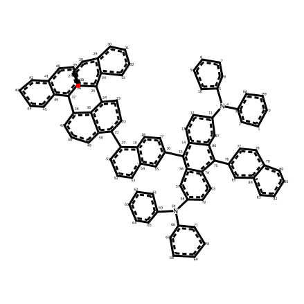 c1ccc(N(c2ccccc2)c2ccc3c(-c4ccc5c(-c6ccc(-c7cccc8ccccc78)c7c(-c8cccc9ccccc89)cccc67)cccc5c4)c4cc(N(c5ccccc5)c5ccccc5)ccc4c(-c4ccc5ccccc5c4)c3c2)cc1